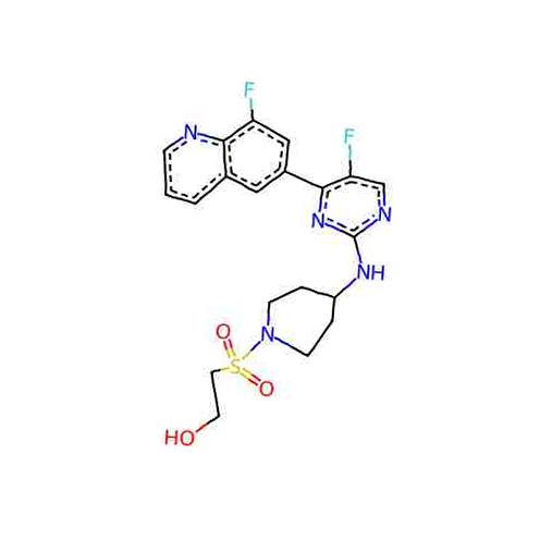 O=S(=O)(CCO)N1CCC(Nc2ncc(F)c(-c3cc(F)c4ncccc4c3)n2)CC1